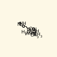 COC(=O)C1=C(C)NC(C)=C(C(=O)OCC=Cc2ccc(Cc3ncc[nH]3)cc2)C1c1cccnc1S